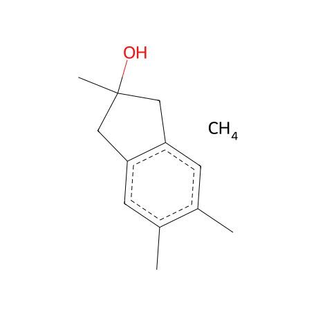 C.Cc1cc2c(cc1C)CC(C)(O)C2